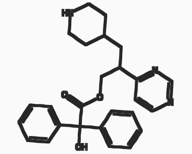 O=C(OCC(CC1CCNCC1)c1ccncn1)C(O)(c1ccccc1)c1ccccc1